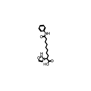 O=C(CCCCCCCC(C(=O)O)N1C=CON1)Nc1ccccc1